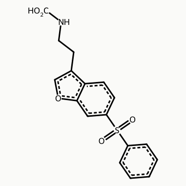 O=C(O)NCCc1coc2cc(S(=O)(=O)c3ccccc3)ccc12